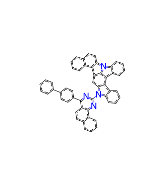 c1ccc(-c2ccc(-c3nc(-n4c5ccccc5c5c6c7ccccc7n7c8ccc9ccccc9c8c(cc54)c67)nc4c3ccc3ccccc34)cc2)cc1